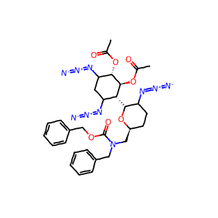 CC(=O)O[C@H]1[C@H](C2O[C@H](CN(Cc3ccccc3)C(=O)OCc3ccccc3)CCC2N=[N+]=[N-])C(N=[N+]=[N-])CC(N=[N+]=[N-])[C@@H]1OC(C)=O